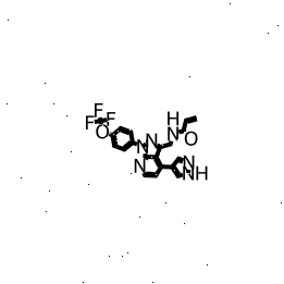 C=CC(=O)NCc1nn(-c2ccc(OC(F)(F)F)cc2)c2nccc(-c3cn[nH]c3)c12